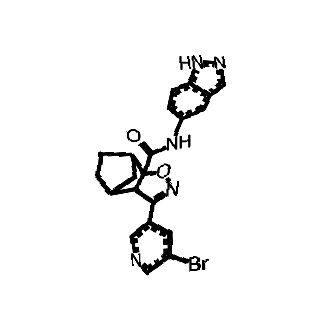 O=C(Nc1ccc2[nH]ncc2c1)C12ON=C(c3cncc(Br)c3)C1C1CCC2C1